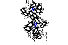 Cc1ccc(N(c2cccc3ccccc23)c2cc(-c3cccc4ccccc34)c3ccc4c(N(c5ccc([Si](C)(C)C)cc5)c5cccc6ccccc56)cc(-c5cccc6ccccc56)c5ccc2c3c54)cc1